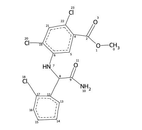 COC(=O)c1cc(NC(C(N)=O)c2ccccc2Cl)c(Cl)cc1Cl